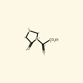 CCOC(=O)C(=O)N1CSCC1=O